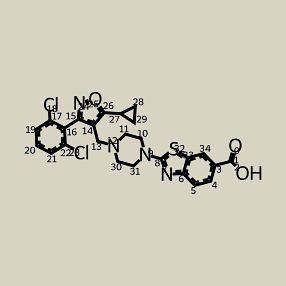 O=C(O)c1ccc2nc(N3CCN(Cc4c(-c5c(Cl)cccc5Cl)noc4C4CC4)CC3)sc2c1